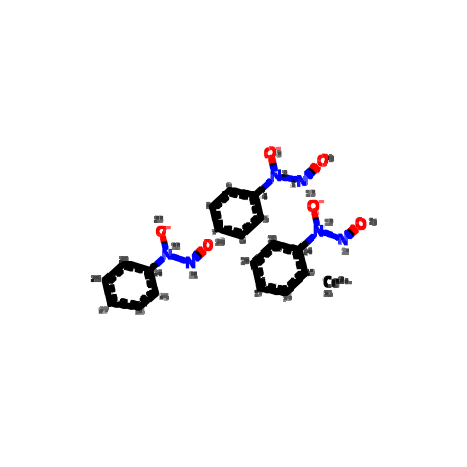 O=NN([O-])c1ccccc1.O=NN([O-])c1ccccc1.O=NN([O-])c1ccccc1.[Ce+3]